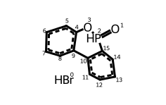 Br.O=[PH]1Oc2ccccc2-c2ccccc21